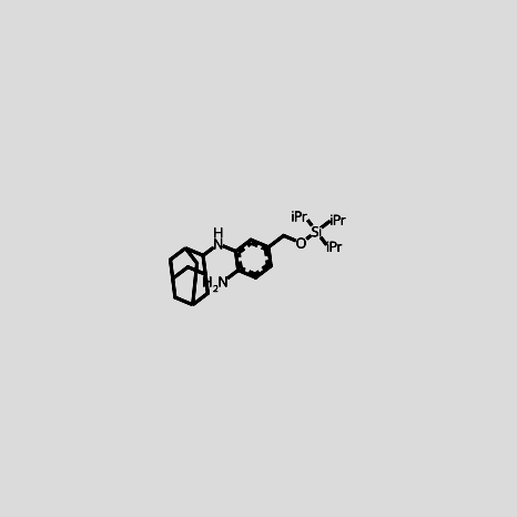 CC(C)[Si](OCc1ccc(N)c(NC2C3CC4CC(C3)CC2C4)c1)(C(C)C)C(C)C